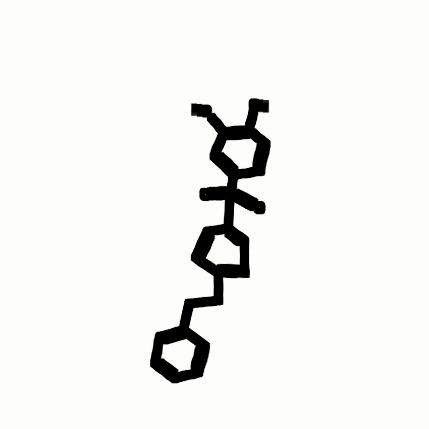 O=S(=O)(c1ccc(CCc2ccccc2)cc1)c1ccc(O)c(O)c1